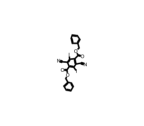 N#Cc1c(I)c(C(=O)OCc2ccccc2)c(C#N)c(I)c1C(=O)OCc1ccccc1